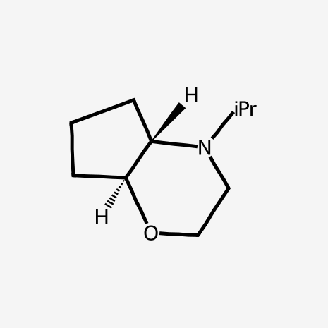 CC(C)N1CCO[C@H]2CCC[C@@H]21